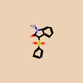 NN1C(=O)C(S(=O)(=O)c2ccccc2)c2ccccc21